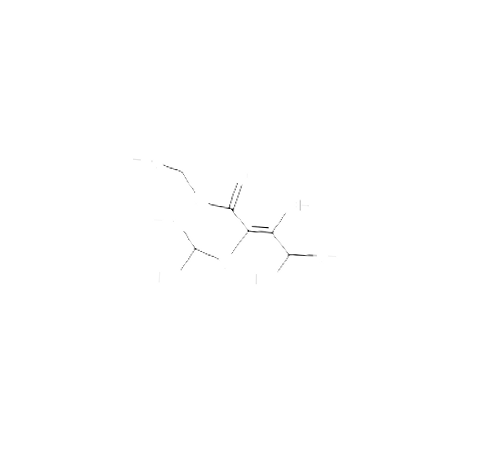 CCOC(=O)/C(SC(C)C)=C(\O)C(C)C